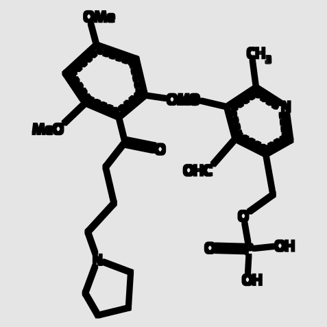 COc1cc(OC)c(C(=O)CCCN2CCCC2)c(OC)c1.Cc1ncc(COP(=O)(O)O)c(C=O)c1O